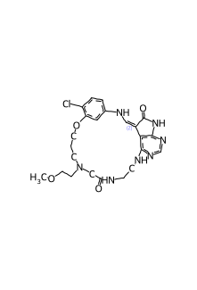 COCCN1CCCOc2cc(ccc2Cl)N/C=C2\C(=O)Nc3ncnc(c32)NCCNC(=O)C1